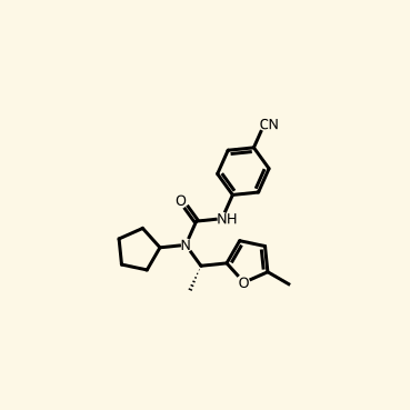 Cc1ccc([C@H](C)N(C(=O)Nc2ccc(C#N)cc2)C2CCCC2)o1